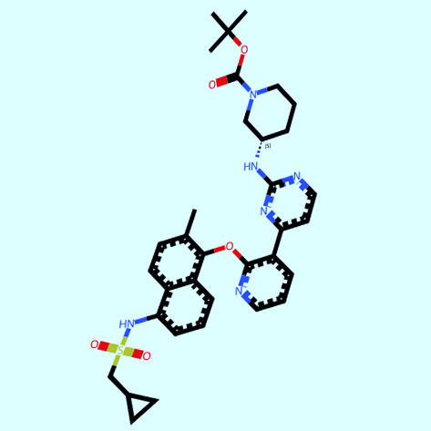 Cc1ccc2c(NS(=O)(=O)CC3CC3)cccc2c1Oc1ncccc1-c1ccnc(N[C@H]2CCCN(C(=O)OC(C)(C)C)C2)n1